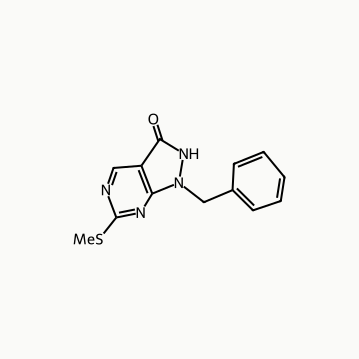 CSc1ncc2c(=O)[nH]n(Cc3ccccc3)c2n1